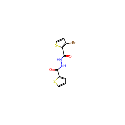 O=C(NNC(=O)c1sccc1Br)c1cccs1